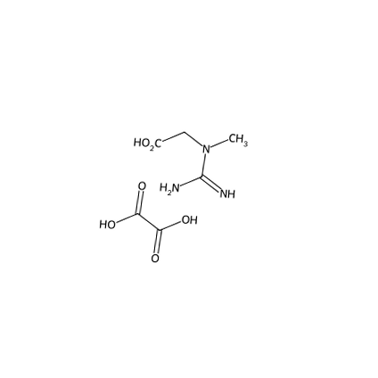 CN(CC(=O)O)C(=N)N.O=C(O)C(=O)O